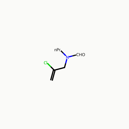 C=C(Cl)CN(C=O)CCC